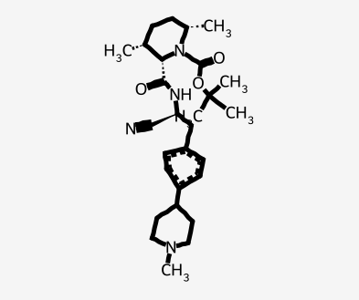 C[C@@H]1CC[C@H](C)N(C(=O)OC(C)(C)C)[C@@H]1C(=O)N[C@H](C#N)Cc1ccc(C2CCN(C)CC2)cc1